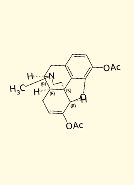 CC(=O)OC1=CC[C@H]2[C@H]3Cc4ccc(OC(C)=O)c5c4[C@@]2(CCN3C)[C@H]1O5